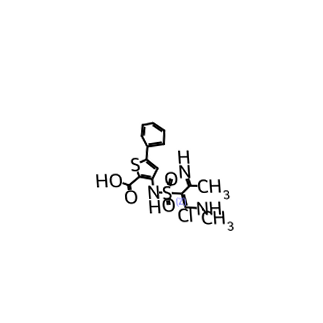 CN/C(Cl)=C(\C(C)=N)S(=O)(=O)Nc1cc(-c2ccccc2)sc1C(=O)O